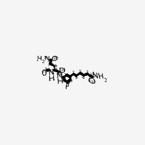 NC(=O)CCCCCc1cc(F)cc(NC(=O)[C@H](CCC(N)=O)NC=O)c1